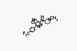 CN1CCC[C@@H](Nc2nnc(-c3ccc(C(F)(F)F)cc3)c3oncc23)C1